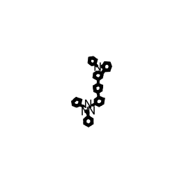 c1ccc(-c2nc(-c3ccccc3)nc(-c3cccc(-c4ccc(-c5ccc6c(c5)c5ccccc5n6-c5ccccc5)cc4)c3)n2)cc1